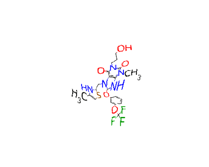 CC1=CSC(CN2c3c(n(C)c(=O)n(CCCO)c3=O)NC2Oc2cccc(OC(F)(F)F)c2)N1